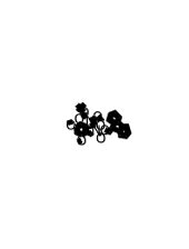 COc1ccc(CN(C(=O)OCC2c3ccccc3-c3ccccc32)C2(OC=O)CN(C(=O)OC(C)(C)C)C2)c(OC)c1